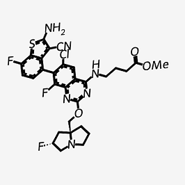 COC(=O)CCCNc1nc(OC[C@@]23CCCN2C[C@H](F)C3)nc2c(F)c(-c3ccc(F)c4sc(N)c(C#N)c34)c(Cl)cc12